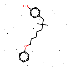 CC(C)(CCCCCOc1ccccc1)Cc1ccc(O)cc1